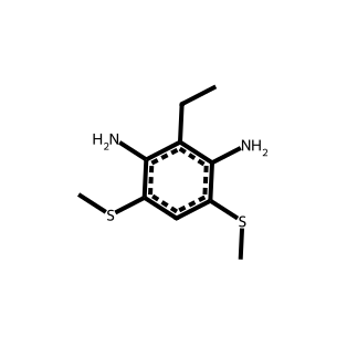 CCc1c(N)c(SC)cc(SC)c1N